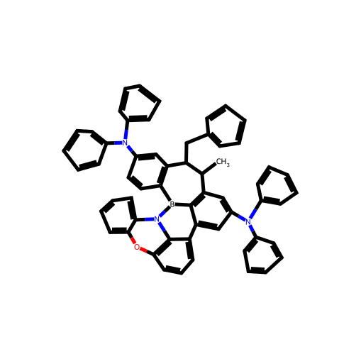 CC1c2cc(N(c3ccccc3)c3ccccc3)cc3c2B(c2ccc(N(c4ccccc4)c4ccccc4)cc2C1Cc1ccccc1)N1c2ccccc2Oc2cccc-3c21